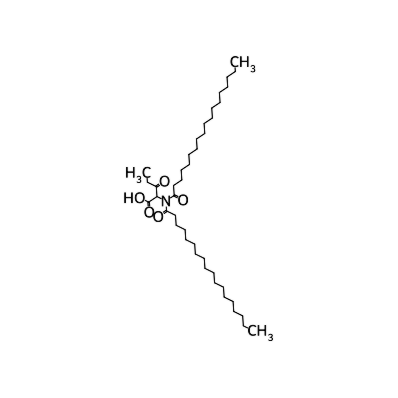 CCCCCCCCCCCCCCCCCC(=O)N(C(=O)CCCCCCCCCCCCCCCCC)C(C(=O)O)C(=O)CC